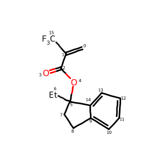 C=C(C(=O)OC1(CC)CCc2ccccc21)C(F)(F)F